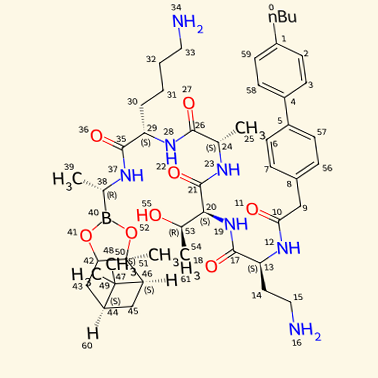 CCCCc1ccc(-c2ccc(CC(=O)N[C@@H](CCN)C(=O)N[C@H](C(=O)N[C@@H](C)C(=O)N[C@@H](CCCCN)C(=O)N[C@@H](C)B3OC4C[C@@H]5C[C@@H](C5(C)C)[C@]4(C)O3)[C@@H](C)O)cc2)cc1